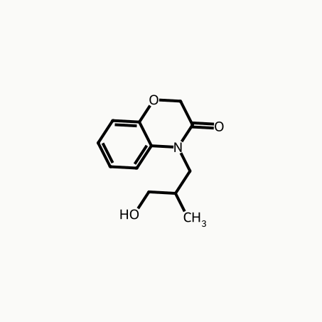 CC(CO)CN1C(=O)COc2ccccc21